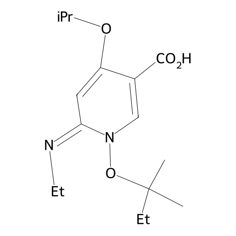 CC/N=c1/cc(OC(C)C)c(C(=O)O)cn1OC(C)(C)CC